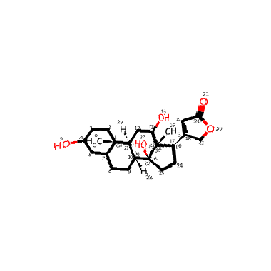 C[C@]12CCC(O)CC1CC[C@@H]1[C@@H]2CC(O)[C@]2(C)[C@@H](C3=CC(=O)OC3)CC[C@]12O